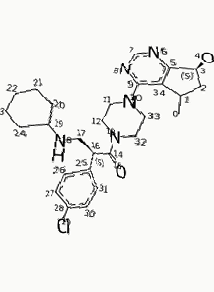 CC1C[C@H](O)c2ncnc(N3CCN(C(=O)[C@H](CNC4CCCCC4)c4ccc(Cl)cc4)CC3)c21